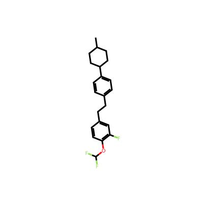 CC1CCC(c2ccc(CCc3ccc(OC(F)F)c(F)c3)cc2)CC1